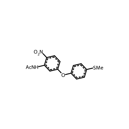 CSc1ccc(Oc2ccc([N+](=O)[O-])c(NC(C)=O)c2)cc1